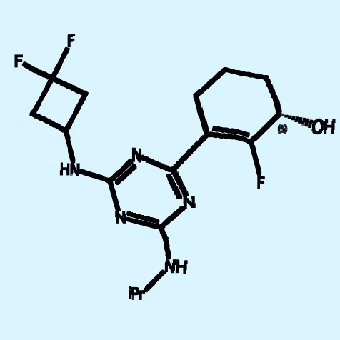 CC(C)Nc1nc(NC2CC(F)(F)C2)nc(C2=C(F)[C@@H](O)CCC2)n1